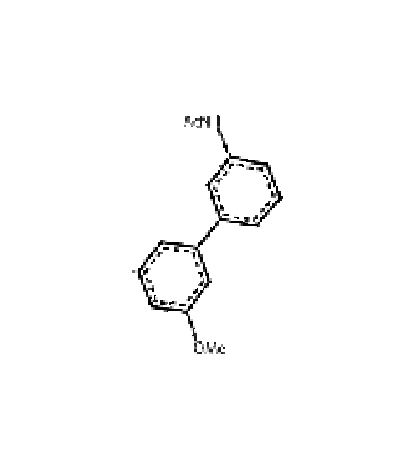 COc1c[c]cc(-c2cccc(NC(C)=O)c2)c1